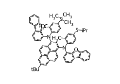 Cc1cc(SC(C)C)ccc1N(c1cc(N(c2ccc([Si](C)(C)C)cc2C)c2cccc3c2oc2ccccc23)c2ccc3cc(C(C)(C)C)cc4ccc1c2c43)c1cccc2c1oc1ccccc12